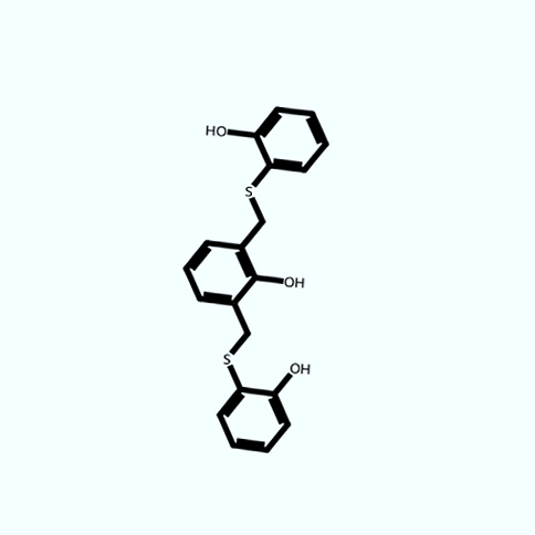 Oc1ccccc1SCc1cccc(CSc2ccccc2O)c1O